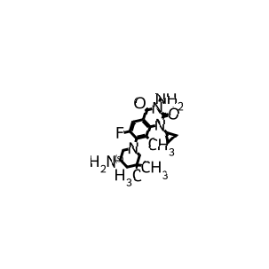 Cc1c(N2C[C@@H](N)CC(C)(C)C2)c(F)cc2c(=O)n(N)c(=O)n(C3CC3)c12